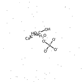 O.O=C(O)O.[Ca+2].[K+].[Na+].[O-][Si]([O-])([O-])[O-]